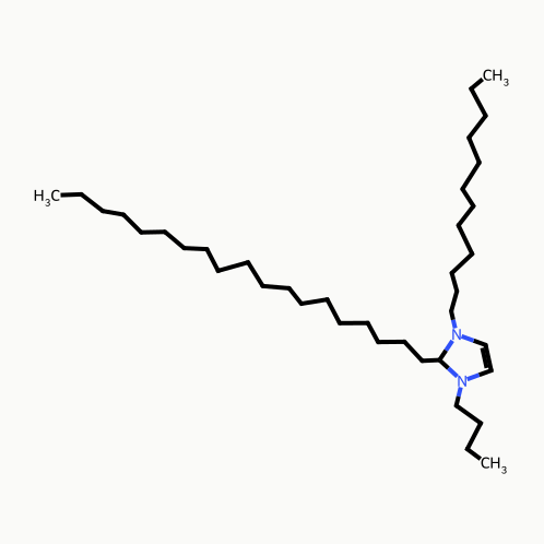 CCCCCCCCCCCCCCCCCCCC1N(CCCC)C=CN1CCCCCCCCCCCC